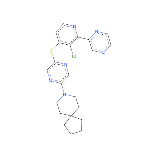 Clc1c(Sc2cnc(N3CCC4(CCCC4)CC3)cn2)ccnc1-c1cnccn1